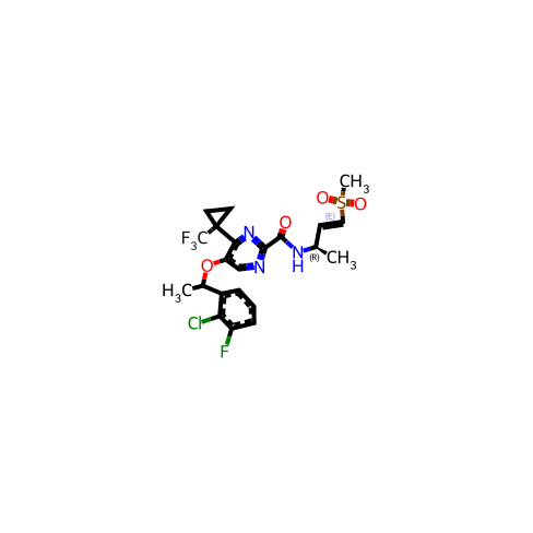 CC(Oc1cnc(C(=O)N[C@H](C)/C=C/S(C)(=O)=O)nc1C1(C(F)(F)F)CC1)c1cccc(F)c1Cl